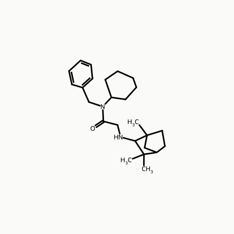 CC12CCC(C1)C(C)(C)C2NCC(=O)N(Cc1ccccc1)C1CCCCC1